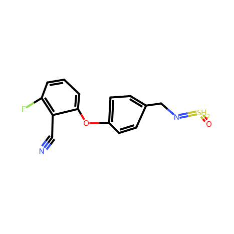 N#Cc1c(F)cccc1Oc1ccc(CN=[SH2]=O)cc1